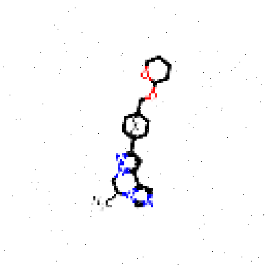 C[C@H]1Cn2nc(C34CCC(COC5CCCCO5)(CC3)CC4)cc2-c2cncn21